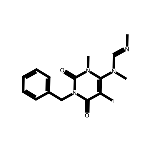 CN=CN(C)c1c(I)c(=O)n(Cc2ccccc2)c(=O)n1C